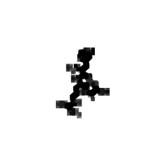 C[C@H](NC(=O)[C@@H](CCCNC(=N)N)NC(=O)[C@H](N)Cc1c[nH]cn1)C(=O)O